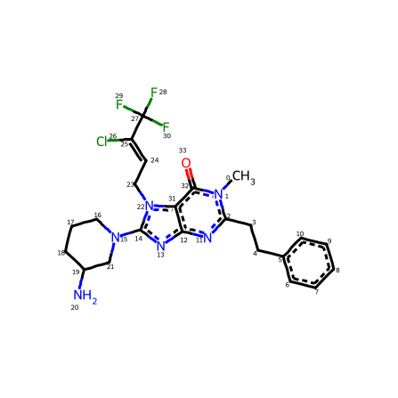 Cn1c(CCc2ccccc2)nc2nc(N3CCCC(N)C3)n(CC=C(Cl)C(F)(F)F)c2c1=O